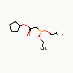 CCOP(CC(=O)OC1CCCC1)OCC